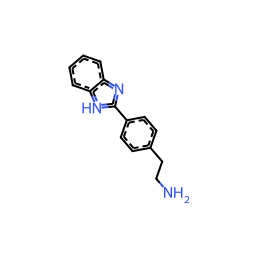 NCCc1ccc(-c2nc3ccccc3[nH]2)cc1